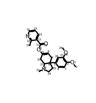 COc1ccc(C23CC=C(OC(=O)c4cccnc4C)CC2N(C)CC3)cc1OC